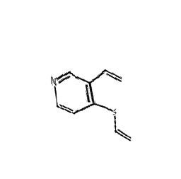 C=CSc1ccncc1C=C